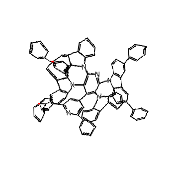 c1ccc(-c2ccc3c(c2)c2cc(-c4ccccc4)ccc2n3-c2nc(-n3c4ccccc4c4ccccc43)c(-n3c4ccc(-c5ccccc5)cc4c4cc(-c5ccccc5)ccc43)c(-c3cc(-c4ccccc4)nc(-c4ccccc4)c3)c2-n2c3ccccc3c3ccccc32)cc1